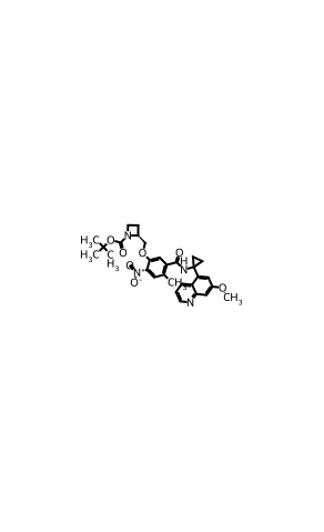 COc1cc(C2(NC(=O)c3cc(OC[C@@H]4CCN4C(=O)OC(C)(C)C)c([N+](=O)[O-])cc3C)CC2)c2cccnc2c1